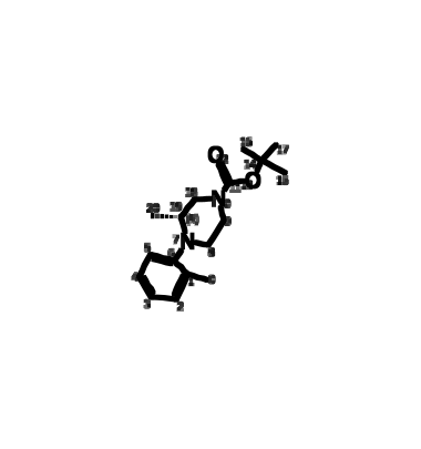 Cc1ccccc1N1CCN(C(=O)OC(C)(C)C)C[C@H]1C